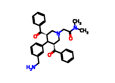 CN(C)C(=O)CN1C[C@H](C(=O)c2ccccc2)C(c2cccc(CN)c2)[C@H](C(=O)c2ccccc2)C1